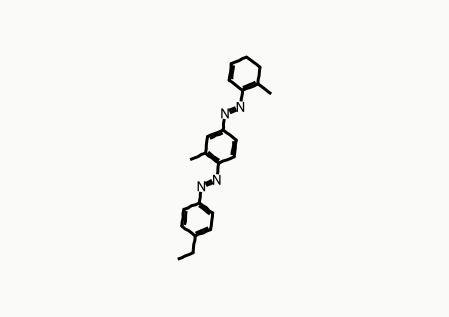 CCc1ccc(N=Nc2ccc(N=NC3=C(C)CCC=C3)cc2C)cc1